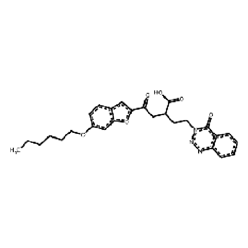 CCCCCCOc1ccc2cc(C(=O)CC(CCn3nnc4ccccc4c3=O)C(=O)O)oc2c1